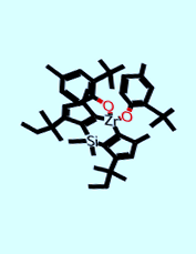 CCC(C)(C)C1=CC(C)[C]2=C1[Si](C)(C)C1=[C](C(C)C=C1C(C)(C)CC)[Zr]2([O]c1ccc(C)cc1C(C)(C)C)[O]c1ccc(C)cc1C(C)(C)C